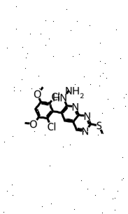 COc1cc(OC)c(Cl)c(-c2cc3cnc(SC)nc3nc2NN)c1Cl